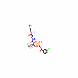 CC(=O)SCCNC(=O)CCNC(=O)[C@@H]1O[PH](O)(OCOC(=O)c2cccc(Cl)c2)OCC1(C)C